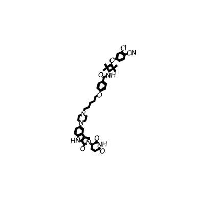 CC1(C)[C@H](NC(=O)c2ccc(OCCCCCN3CCN(c4ccc5[nH]c6c(c5c4)CN(C4CCC(=O)NC4=O)C6=O)CC3)cc2)C(C)(C)[C@H]1Oc1ccc(C#N)c(Cl)c1